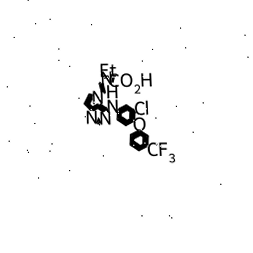 CCN(CCn1ccc2ncnc(Nc3ccc(Oc4cccc(C(F)(F)F)c4)c(Cl)c3)c21)C(=O)O